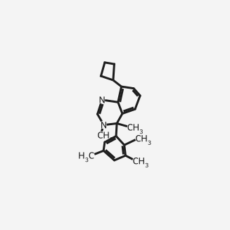 Cc1cc(C)c(C)c(C2(C)c3cccc(C4CCC4)c3N=CN2C)c1